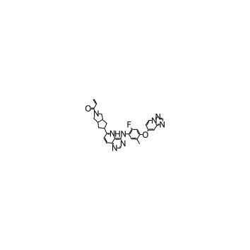 C=CC(=O)N1CC2CC(c3ccc4ncnc(Nc5cc(C)c(Oc6ccn7ncnc7c6)cc5F)c4n3)CC2C1